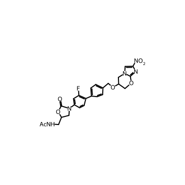 CC(=O)NCC1CN(c2ccc(-c3ccc(COC4COc5nc([N+](=O)[O-])cn5C4)cc3)c(F)c2)C(=O)O1